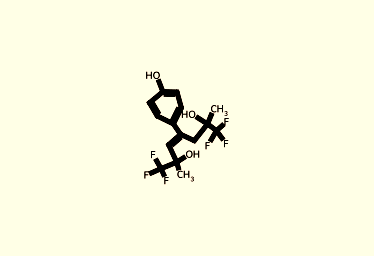 CC(O)(/C=C(\CC(C)(O)C(F)(F)F)c1ccc(O)cc1)C(F)(F)F